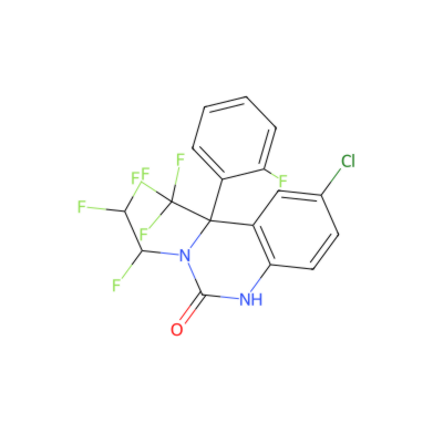 O=C1Nc2ccc(Cl)cc2C(c2ccccc2F)(C(F)(F)F)N1C(F)C(F)F